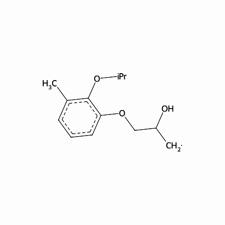 [CH2]C(O)COc1cccc(C)c1OC(C)C